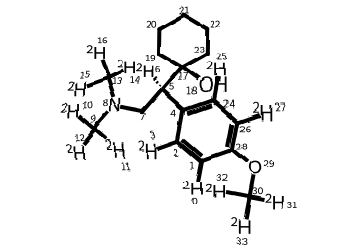 [2H]c1c([2H])c([C@@]([2H])(CN(C([2H])([2H])[2H])C([2H])([2H])[2H])C2(O)CCCCC2)c([2H])c([2H])c1OC([2H])([2H])[2H]